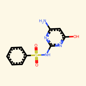 Nc1cc(O)nc(NS(=O)(=O)c2ccccc2)n1